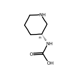 O=C(O)N[C@@H]1CCCNC1